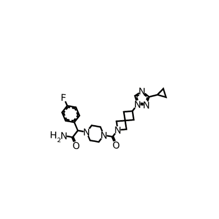 NC(=O)C(c1ccc(F)cc1)N1CCN(C(=O)N2CC3(CC(n4cnc(C5CC5)n4)C3)C2)CC1